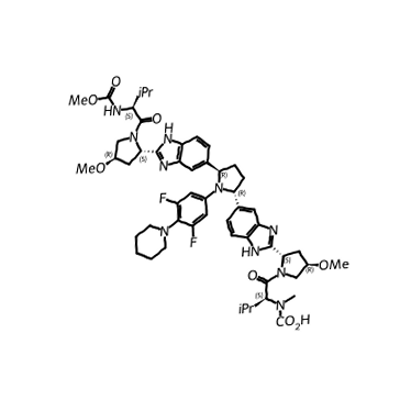 COC(=O)N[C@H](C(=O)N1C[C@H](OC)C[C@H]1c1nc2cc([C@H]3CC[C@H](c4ccc5[nH]c([C@@H]6C[C@@H](OC)CN6C(=O)[C@H](C(C)C)N(C)C(=O)O)nc5c4)N3c3cc(F)c(N4CCCCC4)c(F)c3)ccc2[nH]1)C(C)C